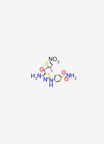 Cc1cc([N+](=O)[O-])sc1C(=O)c1sc(Nc2ccc(S(N)(=O)=O)cc2)nc1N